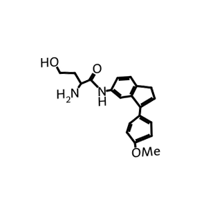 COc1ccc(C2=CCc3ccc(NC(=O)C(N)CCO)cc32)cc1